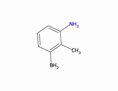 Bc1cccc(N)c1C